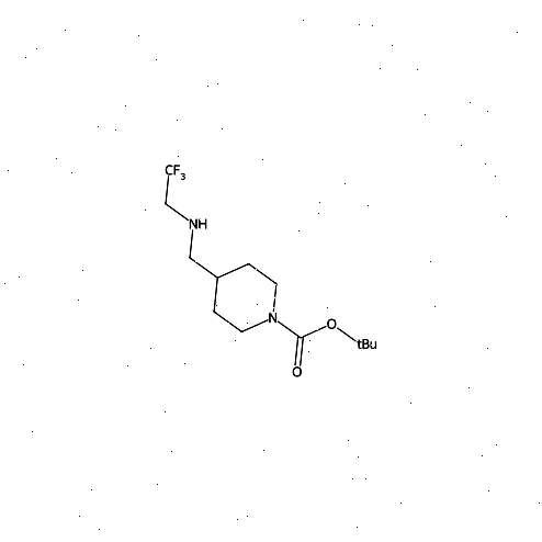 CC(C)(C)OC(=O)N1CCC(CNCC(F)(F)F)CC1